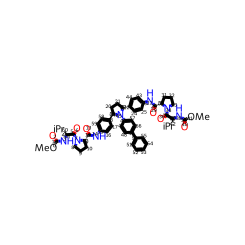 COC(=O)N[C@H](C(=O)N1CCC[C@H]1C(=O)Nc1ccc([C@H]2CC[C@H](c3ccc(NC(=O)[C@@H]4CCCN4C(=O)[C@@H](NC(=O)OC)C(C)C)cc3)N2c2ccc(-c3ccccc3)cc2)cc1)C(C)C